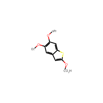 CCCOc1cc2sc(OC(=O)O)cc2cc1OCC